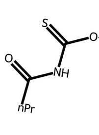 CCCC(=O)NC([O])=S